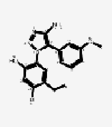 CCc1cc(-n2nnc(N)c2-c2cccc(OC)c2)c(O)cc1O